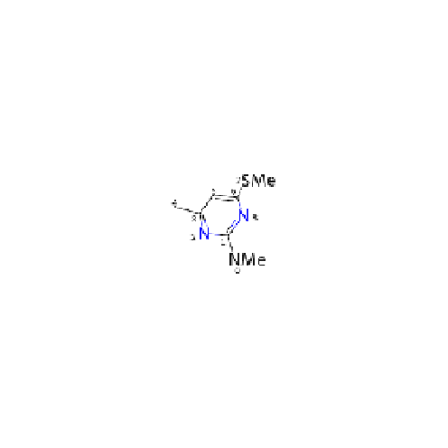 CNc1nc(C)cc(SC)n1